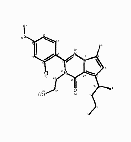 CCC[C@H](C)c1cc(C)n2nc(-c3ccc(SC)cc3Cl)n(CCO)c(=O)c12